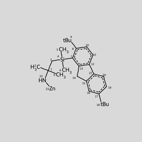 CC(C)(C[Si](C)(C)c1c(C(C)(C)C)ccc2c1Cc1cc(C(C)(C)C)ccc1-2)[NH][Zn]